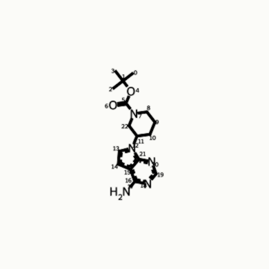 CC(C)(C)OC(=O)N1CCCC(n2ccc3c(N)ncnc32)C1